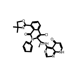 C[C@H](Nc1ncnc2[nH]ccc(=O)c12)c1c(Cl)c2cccc(C3=NC(C)(C)CO3)c2c(=O)n1-c1ccccc1